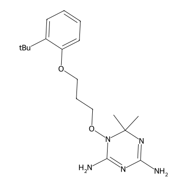 CC(C)(C)c1ccccc1OCCCON1C(N)=NC(N)=NC1(C)C